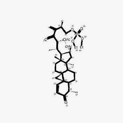 C=C(C(=O)[C@H](OC(C)=O)[C@@H](C)[C@H]1[C@@H](OC(C)=O)C[C@@]2(C)C3CCC4[C@H](C)C(=O)C=C[C@@]45C[C@@]35CC[C@]12C)[C@@H](C)COP(=O)(OCC)OCC